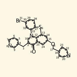 O=c1c(Cc2cccnc2)cn2c3c(cc(OCc4ccncc4)cc13)Sc1ccc(Br)cc1-2